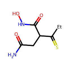 CCC(=S)C(CC(N)=O)C(=O)NO